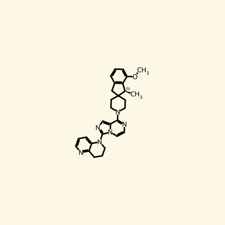 COc1cccc2c1[C@@H](C)C1(CCN(c3nccn4c(N5CCCc6ncccc65)ncc34)CC1)C2